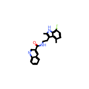 Cc1[nH]c2c(F)ccc(C)c2c1CCNC(=O)c1cnc2ccccc2c1